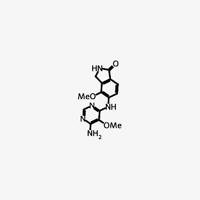 COc1c(N)ncnc1Nc1ccc2c(c1OC)CNC2=O